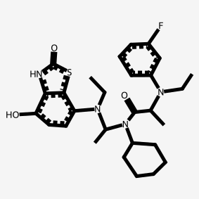 CCN(c1cccc(F)c1)C(C)C(=O)N(C1CCCCC1)C(C)N(CC)c1ccc(O)c2[nH]c(=O)sc12